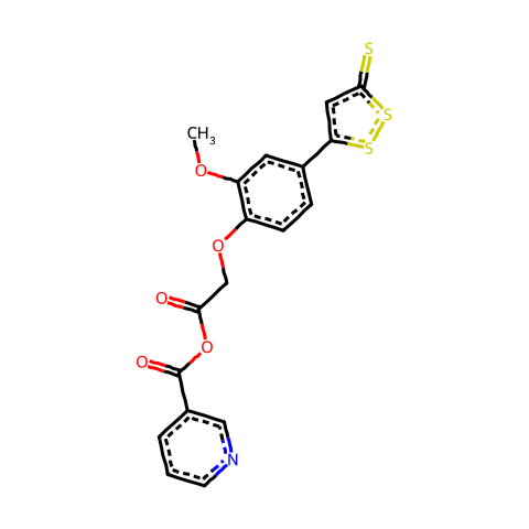 COc1cc(-c2cc(=S)ss2)ccc1OCC(=O)OC(=O)c1cccnc1